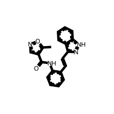 Cc1oncc1C(=O)Nc1ccccc1C=Cc1n[nH]c2ccccc12